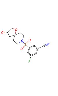 N#Cc1cc(F)cc(S(=O)(=O)N2CCC3(CC2)CC(=O)CO3)c1